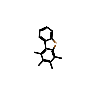 Cc1c(C)c(C)c2c(sc3ccccc32)c1C